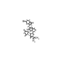 C=C(N)c1cc(-c2cccnc2[C@H](Cc2cc(F)cc(F)c2)NC(=O)Cc2c[nH]c3ccc(Br)cc23)ccc1F